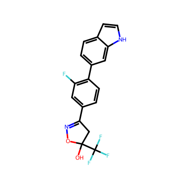 OC1(C(F)(F)F)CC(c2ccc(-c3ccc4cc[nH]c4c3)c(F)c2)=NO1